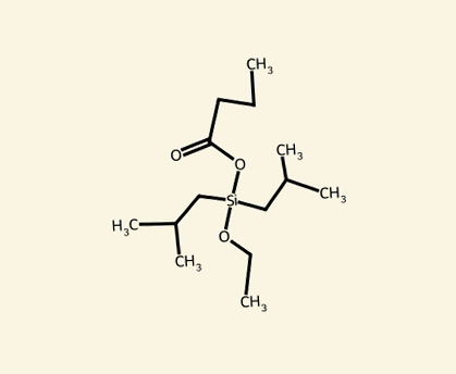 CCCC(=O)O[Si](CC(C)C)(CC(C)C)OCC